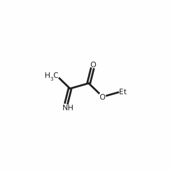 CCOC(=O)C(C)=N